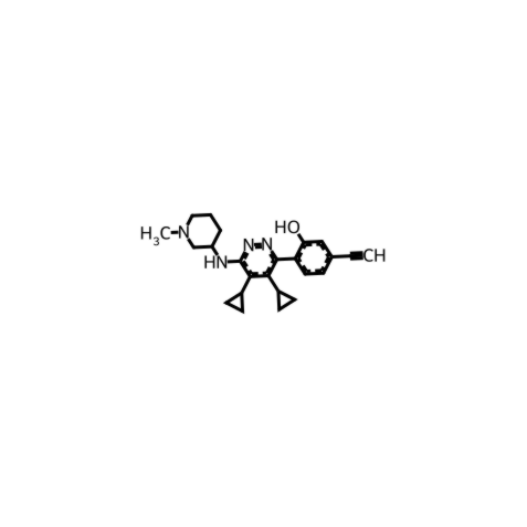 C#Cc1ccc(-c2nnc(NC3CCCN(C)C3)c(C3CC3)c2C2CC2)c(O)c1